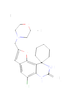 C=C1Nc2c(Cl)cc3cc(CN4C[C@@H](C)O[C@@H](C)C4)oc3c2C2(CCCCC2)N1